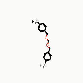 Cc1ccc(COCOCc2ccc(C)cc2)cc1